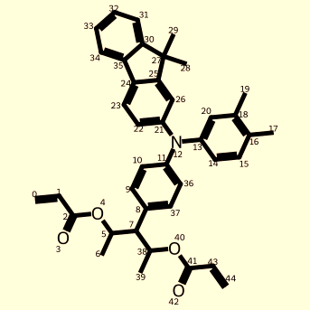 C=CC(=O)OC(C)C(c1ccc(N(c2ccc(C)c(C)c2)c2ccc3c(c2)C(C)(C)c2ccccc2-3)cc1)C(C)OC(=O)C=C